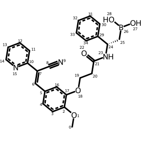 COc1ccc(C=C(C#N)c2ccccn2)cc1OCCC(=O)N[C@@H](CB(O)O)c1ccccc1